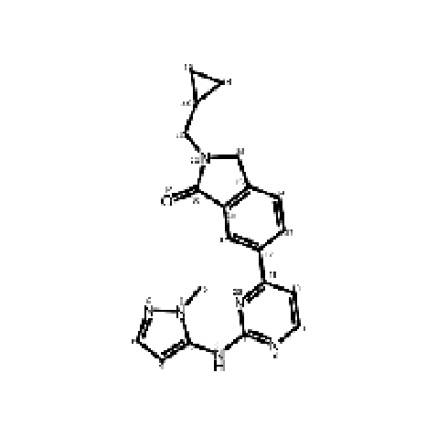 Cn1nccc1Nc1nccc(-c2ccc3c(c2)C(=O)N(CC2CC2)C3)n1